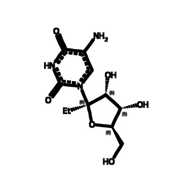 CC[C@@]1(n2cc(N)c(=O)[nH]c2=O)O[C@H](CO)[C@@H](O)[C@H]1O